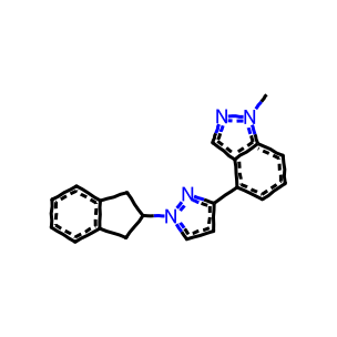 Cn1ncc2c(-c3ccn(C4Cc5ccccc5C4)n3)cccc21